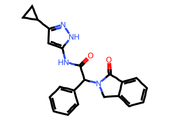 O=C(Nc1cc(C2CC2)n[nH]1)C(c1ccccc1)N1Cc2ccccc2C1=O